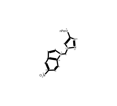 CCCCCc1cn(Cn2ccc3cc([N+](=O)[O-])ccc32)nn1